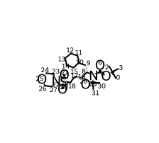 CC(C)(C)OC(=O)N1[C@@H](CC2CCCCC2)[C@H](CCS(=O)(=O)N2CCOCC2)OC1(C)C